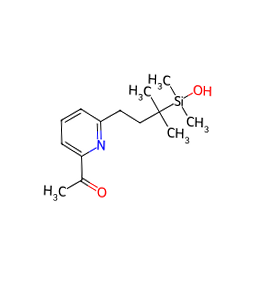 CC(=O)c1cccc(CCC(C)(C)[Si](C)(C)O)n1